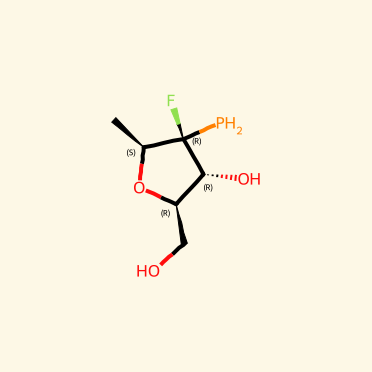 C[C@@H]1O[C@H](CO)[C@@H](O)[C@@]1(F)P